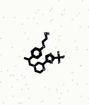 CC(CN1CCOC(c2csc(C(F)(F)F)n2)C1)c1ccc(OCCO)cc1